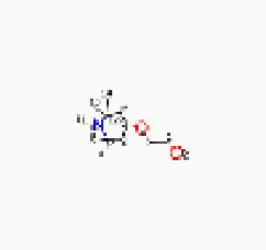 COCCOC1CC(C)(C)N(C)C(C)(C)C1